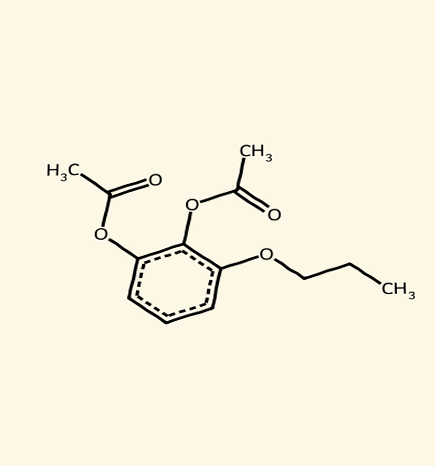 CCCOc1cccc(OC(C)=O)c1OC(C)=O